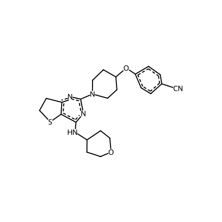 N#Cc1ccc(OC2CCN(c3nc4c(c(NC5CCOCC5)n3)SCC4)CC2)cc1